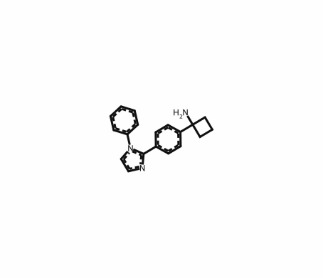 NC1(c2ccc(-c3nccn3-c3ccccc3)cc2)CCC1